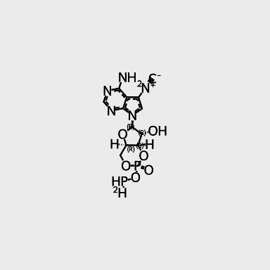 [2H]POP1(=O)OC[C@H]2O[C@@H](n3cc([N+]#[C-])c4c(N)ncnc43)[C@H](O)[C@@H]2O1